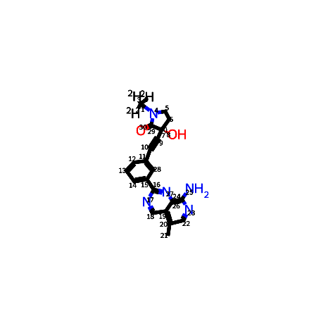 [2H]C([2H])([2H])N1CC[C@@](O)(C#Cc2cccc(-c3ncc4c(C)cnc(N)c4n3)c2)C1=O